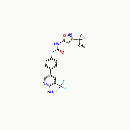 CC1(c2cc(NC(=O)Cc3ccc(-c4cnc(N)c(C(F)(F)F)c4)cc3)on2)CC1